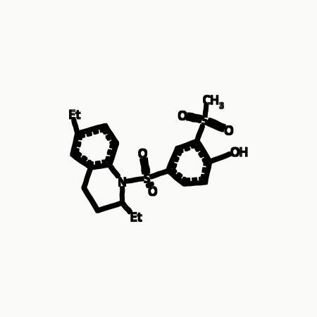 CCc1ccc2c(c1)CCC(CC)N2S(=O)(=O)c1ccc(O)c(S(C)(=O)=O)c1